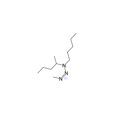 CCCCCN(/N=N\C)C(C)CCC